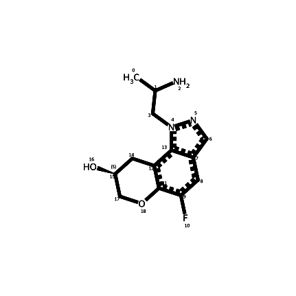 CC(N)Cn1ncc2cc(F)c3c(c21)C[C@H](O)CO3